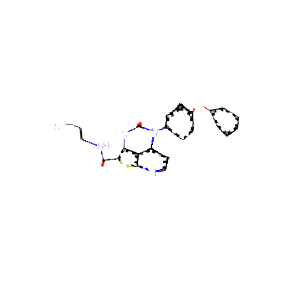 CC(=O)NCCNC(=O)c1sc2nccc3c2c1NC(=O)N3c1ccc(Oc2ccccc2)cc1